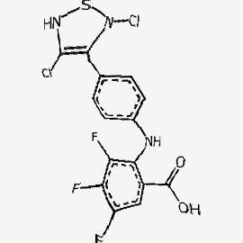 O=C(O)c1cc(F)c(F)c(F)c1Nc1ccc(C2=C(Cl)NSN2Cl)cc1